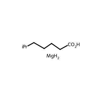 CC(C)CCCCC(=O)O.[MgH2]